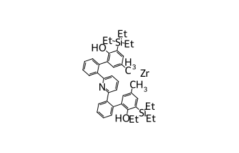 CC[Si](CC)(CC)c1cc(C)cc(-c2ccccc2-c2cccc(-c3ccccc3-c3cc(C)cc([Si](CC)(CC)CC)c3O)n2)c1O.[Zr]